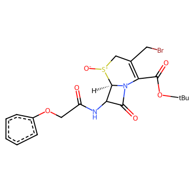 CC(C)(C)OC(=O)C1=C(CBr)C[S+]([O-])[C@@H]2C(NC(=O)COc3ccccc3)C(=O)N12